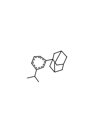 CC(C)c1cccc(C23CC4CC(CC(C4)C2)C3)c1